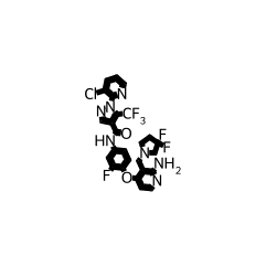 Nc1nccc(Oc2ccc(NC(=O)c3cnn(-c4ncccc4Cl)c3C(F)(F)F)cc2F)c1CN1CCC(F)(F)C1